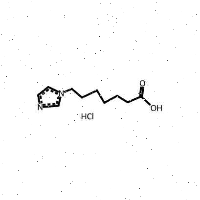 Cl.O=C(O)CCCCCCn1ccnc1